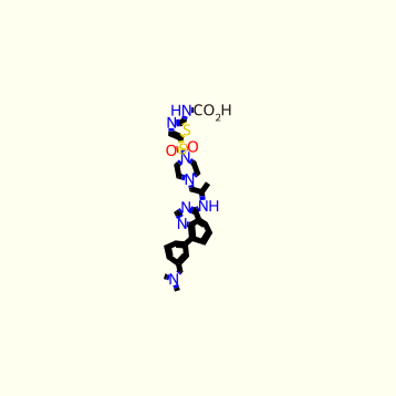 CC(CN1CCN(S(=O)(=O)c2cnc(NC(=O)O)s2)CC1)Nc1ncnc2c(-c3cccc(CN(C)C)c3)cccc12